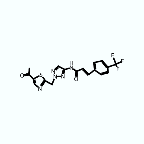 CC(=O)c1cnc(Cn2ncc(NC(=O)C=Cc3ccc(C(F)(F)F)cc3)n2)s1